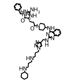 N=C(N)N[C@@H](CCC(=O)N1CCC(Nc2nc(NCc3cn(CCCNCCCNC4CCCCC4)nn3)nc3ccccc23)CC1)C(=O)NCc1ccccc1